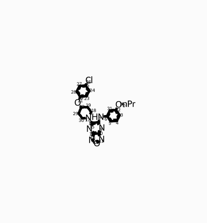 CCCOc1cccc(Nc2nc3nonc3nc2N2CCC(Oc3ccc(Cl)cc3)CC2)c1